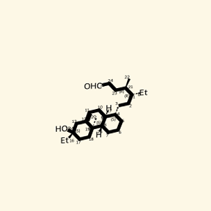 CC[C@H](CC[C@@H]1CCC[C@H]2[C@H]1CC=C1C[C@](O)(CC)CC[C@@]12C)[C@H](C)CCC=O